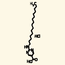 CCCCCCCCCCCCCCCCNc1ncc(C(=O)O)cn1.Cl